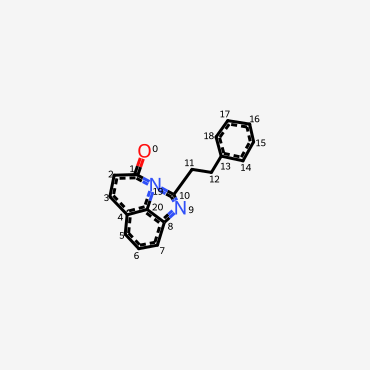 O=c1ccc2cccc3nc(CCc4ccccc4)n1c23